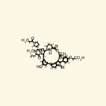 C=CC(=O)N1CC[C@H](C(=O)N(C)[C@H](C(=O)N[C@H]2Cc3cc(O)cc(c3)-c3ccc4c(c3)c(c(-c3ccc(OCC(=O)O)cc3)n4CC)CC(C)(C)COC(=O)[C@@H]3CCCN(N3)C2=O)C(C)C)C1